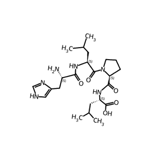 CC(C)C[C@H](NC(=O)[C@@H]1CCCN1C(=O)[C@H](CC(C)C)NC(=O)[C@@H](N)Cc1c[nH]cn1)C(=O)O